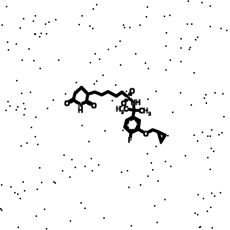 CC(C)(NS(=O)(=O)CCCCCC1CCC(=O)NC1=O)c1ccc(F)c(OCC2CC2)c1